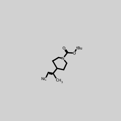 C/C(=C\C#N)C1CCN(C(=O)OC(C)(C)C)CC1